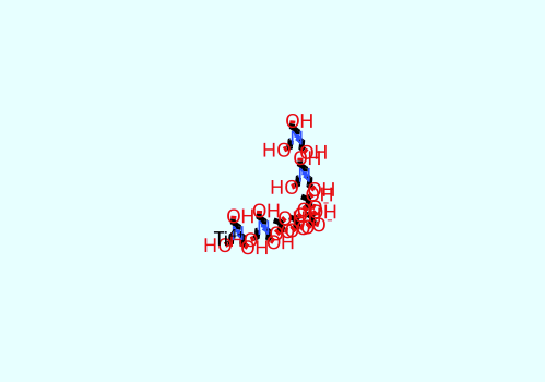 CC(O)C(=O)[O-].CC(O)C(=O)[O-].CC(O)C(=O)[O-].CC(O)C(=O)[O-].OCCN(CCO)CCO.OCCN(CCO)CCO.OCCN(CCO)CCO.OCCN(CCO)CCO.[Ti+4]